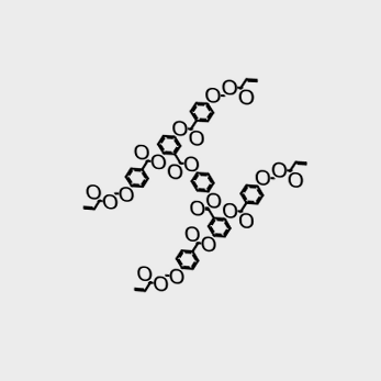 C=CC(=O)OCOc1ccc(C(=O)Oc2ccc(OC(=O)c3ccc(OCOC(=O)C=C)cc3)c(C(=O)Oc3ccc(OC(=O)c4cc(OC(=O)c5ccc(OCOC(=O)C=C)cc5)ccc4OC(=O)c4ccc(OCOC(=O)C=C)cc4)cc3)c2)cc1